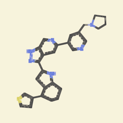 c1cc(-c2ccsc2)c2cc(-c3n[nH]c4cnc(-c5cncc(CN6CCCC6)c5)cc34)[nH]c2c1